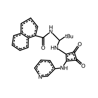 CC(C)(C)C(NC(=O)c1cccc2ccccc12)Nc1c(Nc2cccnc2)c(=O)c1=O